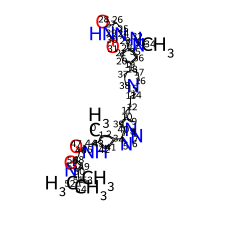 Cc1cc(-c2ncnn3cc(CCCCN4CCC(c5ccc6c(N7CCC(=O)NC7=O)nn(C)c6c5)CC4)cc23)ccc1CNC(=O)c1cc(C(C)(C)C)no1